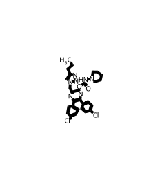 CCCc1cn(Cc2nc(-c3ccc(Cl)cc3)c(-c3ccc(Cl)cc3)nc2OC(=O)NN2CCCCC2)nn1